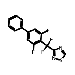 Fc1cc(-c2ccccc2)cc(F)c1C(F)(F)c1ncsn1